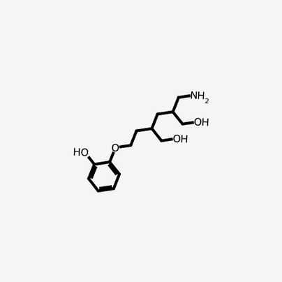 NCC(CO)CC(CO)CCOc1ccccc1O